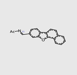 CC(=O)/N=C/c1ccc2c(c1)oc1c3ccccc3ccc21